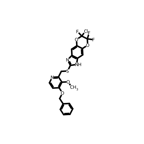 COc1c(OCc2ccccc2)ccnc1CSc1nc2cc3c(cc2[nH]1)OC(F)(F)C(F)(Cl)O3